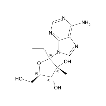 CC[C@@]1(n2cnc3c(N)ncnc32)O[C@H](CO)[C@@H](O)[C@@]1(C)O